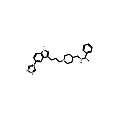 C[C@@H](NCC1CCN(CCCc2c[nH]c3ccc(-n4cnnc4)cc23)CC1)c1ccccc1